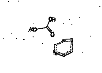 O=C(O)O.c1ccncc1